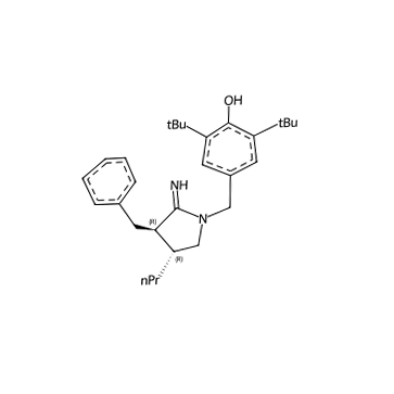 CCC[C@H]1CN(Cc2cc(C(C)(C)C)c(O)c(C(C)(C)C)c2)C(=N)[C@@H]1Cc1ccccc1